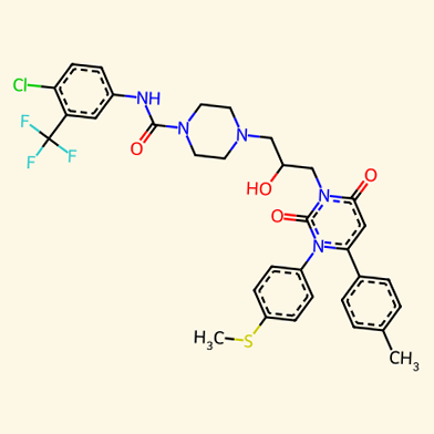 CSc1ccc(-n2c(-c3ccc(C)cc3)cc(=O)n(CC(O)CN3CCN(C(=O)Nc4ccc(Cl)c(C(F)(F)F)c4)CC3)c2=O)cc1